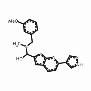 COc1cccc(CN(C)C(O)c2cc3ccc(-c4cn[nH]c4)nc3s2)c1